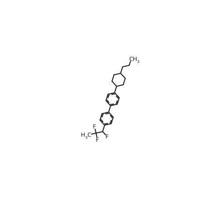 CCCC1CCC(c2ccc(-c3ccc(C(F)C(C)(F)F)cc3)cc2)CC1